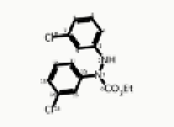 CCOC(=O)N(Nc1cccc(Cl)c1)c1cccc(Cl)c1